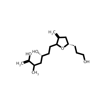 C=C(O)C(C)C[C@H](O)CCC1O[C@@H](CCCO)CC1=C